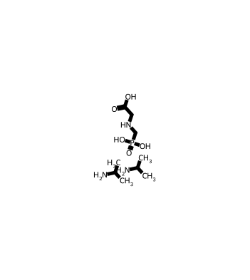 CC(C)N.CC(C)N.O=C(O)CNCP(=O)(O)O